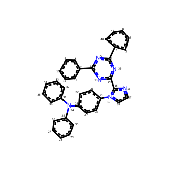 c1ccc(-c2nc(-c3ccccc3)nc(-c3nccn3-c3ccc(N(c4ccccc4)c4ccccc4)cc3)n2)cc1